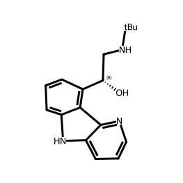 CC(C)(C)NC[C@H](O)c1cccc2[nH]c3cccnc3c12